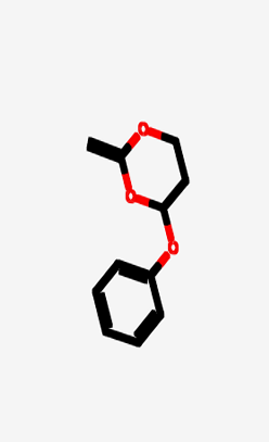 C=C1OCCC(Oc2ccccc2)O1